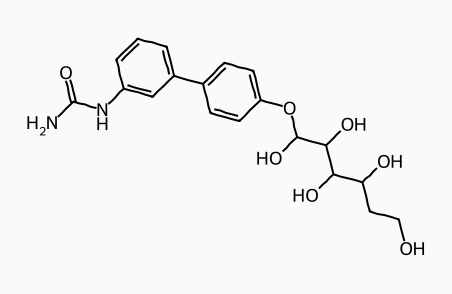 NC(=O)Nc1cccc(-c2ccc(OC(O)C(O)C(O)C(O)CCO)cc2)c1